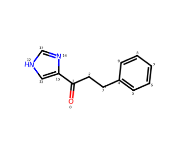 O=C(C[CH]c1ccccc1)c1c[nH]cn1